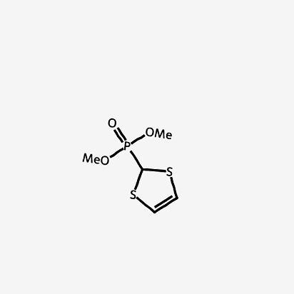 COP(=O)(OC)C1SC=CS1